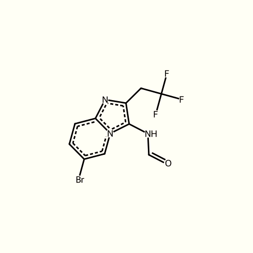 O=CNc1c(CC(F)(F)F)nc2ccc(Br)cn12